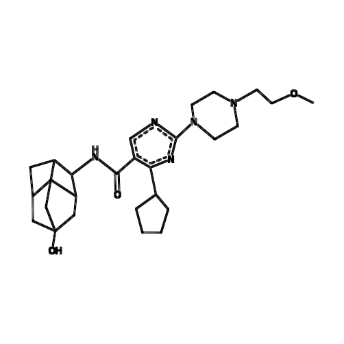 COCCN1CCN(c2ncc(C(=O)NC3C4CC5CC3CC(O)(C5)C4)c(C3CCCC3)n2)CC1